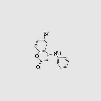 O=c1cc(Nc2ccccc2)c2cc(Br)ccc2o1